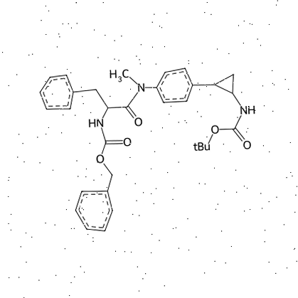 CN(C(=O)C(Cc1ccccc1)NC(=O)OCc1ccccc1)c1ccc(C2CC2NC(=O)OC(C)(C)C)cc1